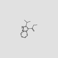 C=C(CC)c1c(C(C)C)nn2ccccc12